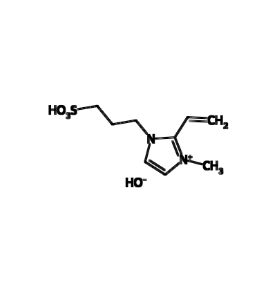 C=Cc1n(CCCS(=O)(=O)O)cc[n+]1C.[OH-]